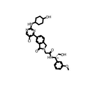 COc1cccc([C@@H](CO)NC(=O)CN2Cc3ccc(-c4nc(NC5CCC(O)CC5)ncc4Cl)cc3C2=O)c1